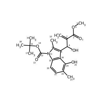 C=C(C(=O)OC)C(O)c1c(C)n(C(=O)OC(C)(C)C)c2ccc(C)c(O)c12